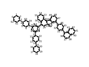 c1ccc(-c2ccc(-c3nc(-c4ccc(-c5ccccc5)cc4)nc(-c4cc5oc6c(-c7ccc(-c8cccc9ccccc89)cc7)cccc6c5c5ccccc45)n3)cc2)cc1